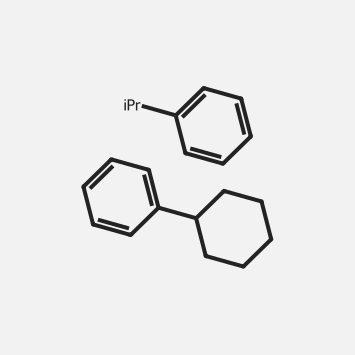 CC(C)c1ccccc1.c1ccc(C2CCCCC2)cc1